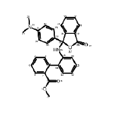 COC(=O)c1ccccc1-c1ccccc1NC1(c2ccc(N(C)C)cc2)OC(=O)c2ccccc21